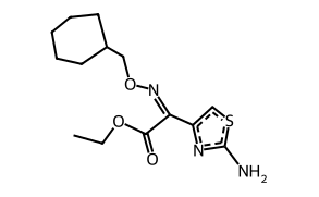 CCOC(=O)/C(=N\OCC1CCCCC1)c1csc(N)n1